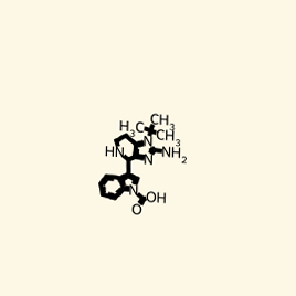 CC(C)(C)n1c(N)nc2c1CCNC2c1cn(C(=O)O)c2ccccc12